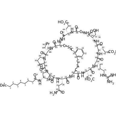 CCCCCCCCCCCCCCCCCC(=O)N[C@H]1C[C@H]2C(=O)N[C@@H](CCC(N)=O)C(=O)NC3CSCc4ccccc4CSC[C@H](NC(=O)[C@H](CCC(=O)O)NC(=O)CNC(=O)[C@H]([C@@H](C)O)NC(=O)[C@H](CCC(=O)O)NC(=O)[C@H](CCCNC(=N)N)NC(=O)[C@H](CC(=O)O)NC3=O)C(=O)N[C@@H](CC(C)C)C(=O)N3CCC[C@@H]3C(=O)N2C1